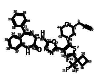 C#CC[C@H]1CN(c2sc(C3(C(F)(F)F)CCC3)nc2-c2nnc(N[C@H]3N=C(c4ccccc4)c4ccccc4NC3=O)o2)CCO1